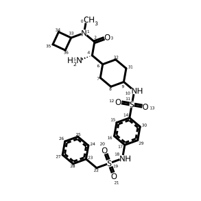 CN(C(=O)[C@@H](N)C1CCC(NS(=O)(=O)c2ccc(NS(=O)(=O)Cc3ccccc3)cc2)CC1)C1CCC1